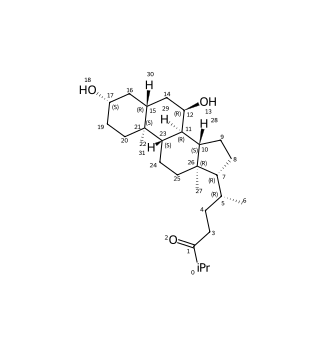 CC(C)C(=O)CC[C@@H](C)[C@H]1CC[C@H]2[C@@H]3[C@H](O)C[C@H]4C[C@@H](O)CC[C@]4(C)[C@H]3CC[C@]12C